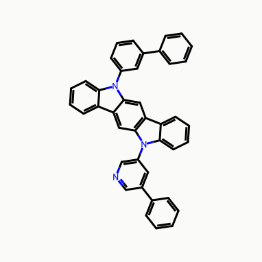 c1ccc(-c2cccc(-n3c4ccccc4c4cc5c(cc43)c3ccccc3n5-c3cncc(-c4ccccc4)c3)c2)cc1